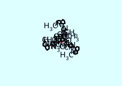 Cc1ccc2cccc(-c3ccc(N(C(=O)c4cc(C(=O)N(c5ccc(-c6cccc7ccc(C)nc67)nc5)[Si](C)(C)C)cc(C(=O)N(c5ccc(-c6cccc7ccc(C)nc67)nc5)S(C)(C)C)c4)[Si](C)(C)C)cn3)c2n1